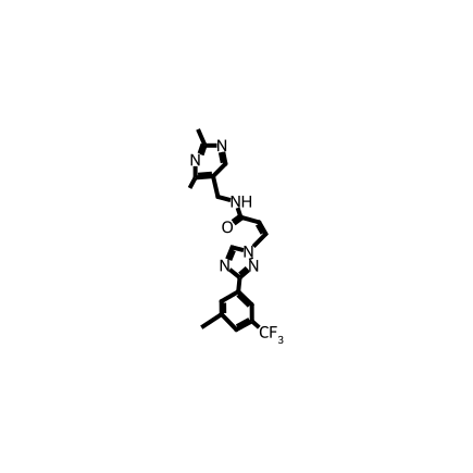 Cc1cc(-c2ncn(/C=C\C(=O)NCc3cnc(C)nc3C)n2)cc(C(F)(F)F)c1